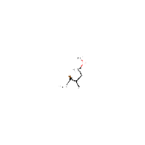 CCO[SiH2]CC(C)C(=S)OC